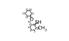 Cc1cccc(COc2[c]cccc2)c1S